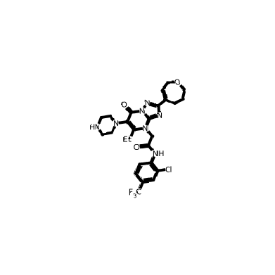 CCc1c(N2CCNCC2)c(=O)n2nc(C3=CCOCCC3)nc2n1CC(=O)Nc1ccc(C(F)(F)F)cc1Cl